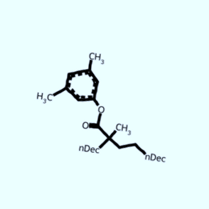 CCCCCCCCCCCCC(C)(CCCCCCCCCC)C(=O)Oc1cc(C)cc(C)c1